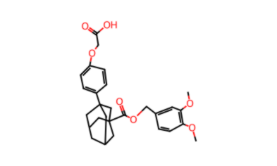 COc1ccc(COC(=O)C23CC4CC(C2)CC(c2ccc(OCC(=O)O)cc2)(C4)C3)cc1OC